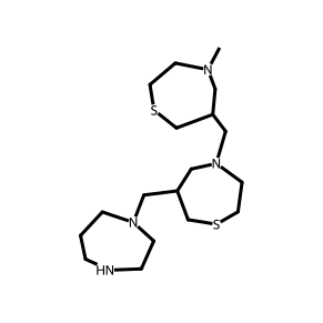 CN1CCSCC(CN2CCSCC(CN3CCCNCC3)C2)C1